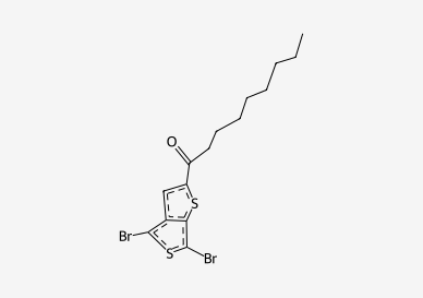 CCCCCCCCC(=O)c1cc2c(Br)sc(Br)c2s1